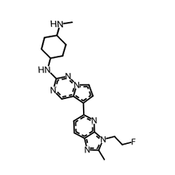 CNC1CCC(Nc2ncc3c(-c4ccc5nc(C)n(CCF)c5n4)ccn3n2)CC1